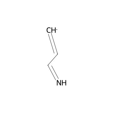 [CH]=CC=N